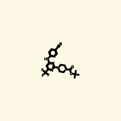 CC(C)(C)OC(=O)N1CCN(c2nc(Nc3ccc(C#N)cc3)cc(C(F)(F)F)n2)CC1